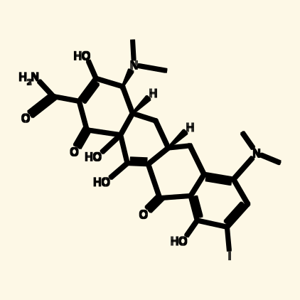 CN(C)c1cc(I)c(O)c2c1C[C@H]1C[C@H]3[C@H](N(C)C)C(O)=C(C(N)=O)C(=O)C3(O)C(O)=C1C2=O